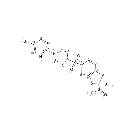 CC(=O)C1(C)Cc2ccc(S(=O)(=O)N3CCN(c4ccc(C)cn4)CC3)cc2C1